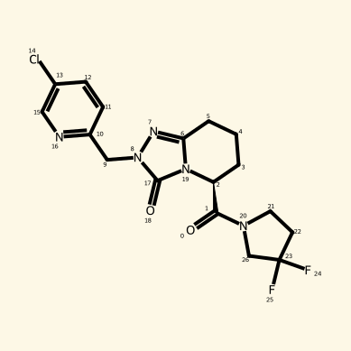 O=C([C@@H]1CCCc2nn(Cc3ccc(Cl)cn3)c(=O)n21)N1CCC(F)(F)C1